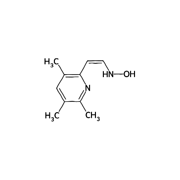 Cc1cc(C)c(/C=C\NO)nc1C